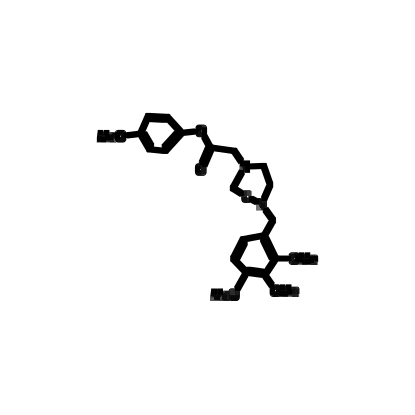 COc1ccc(OC(=O)CN2CCN(Cc3ccc(OC)c(OC)c3OC)CC2)cc1